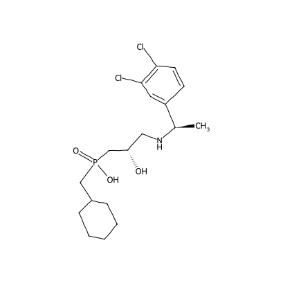 C[C@@H](NC[C@H](O)CP(=O)(O)CC1CCCCC1)c1ccc(Cl)c(Cl)c1